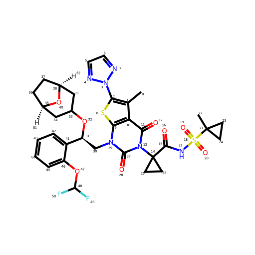 Cc1c(-n2nccn2)sc2c1c(=O)n(C1(C(=O)NS(=O)(=O)C3(C)CC3)CC1)c(=O)n2C[C@H](OC1C[C@H]2CC[C@@H](C1)O2)c1ccccc1OC(F)F